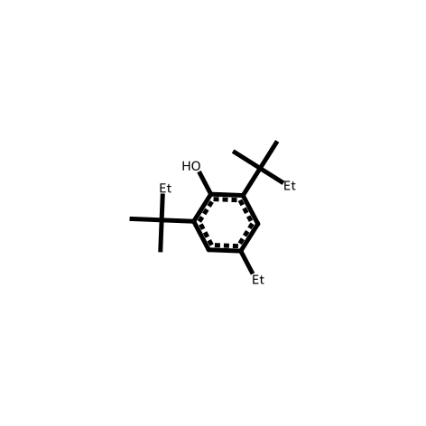 CCc1cc(C(C)(C)CC)c(O)c(C(C)(C)CC)c1